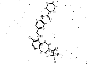 O=C(Nc1ccc(CNc2c(Cl)ccc3c2CCN(C(=O)C(F)(F)F)CC3)cc1)C1CCCCC1